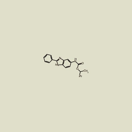 CC(C)C(C)OC(=O)Nc1ccc2[nH]c(-c3ccccc3)nc2c1